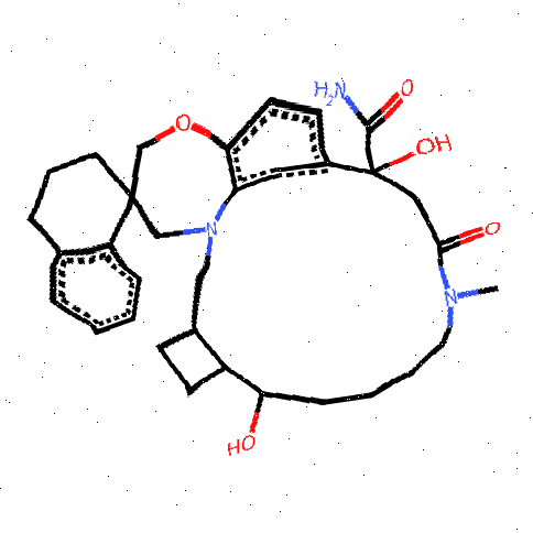 CN1CCCCC(O)C2CCC2CN2CC3(CCCc4ccccc43)COc3ccc(cc32)C(O)(C(N)=O)CC1=O